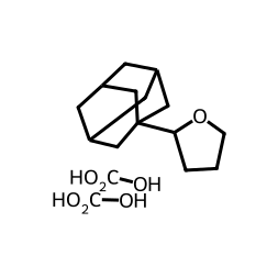 C1COC(C23CC4CC(CC(C4)C2)C3)C1.O=C(O)O.O=C(O)O